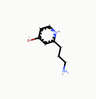 NCCCc1cc(Br)ccn1